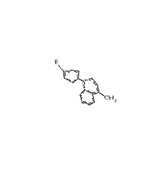 Cc1cc[n+](-c2ccc(F)cc2)c2ccccc12